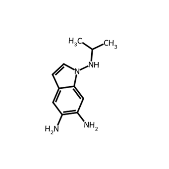 CC(C)Nn1ccc2cc(N)c(N)cc21